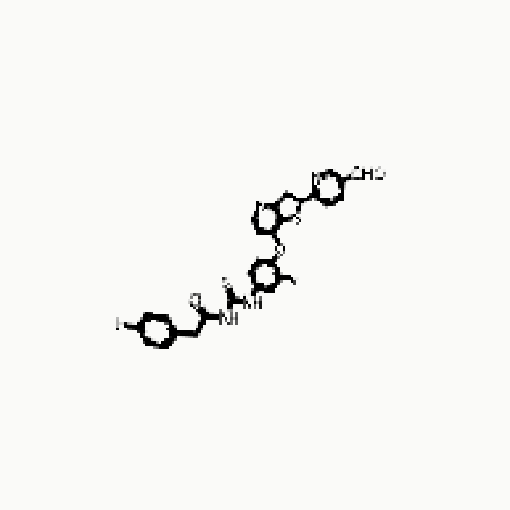 O=Cc1ccc(C2Cc3nccc(Oc4ccc(NC(=S)NC(=O)Cc5ccc(F)cc5)cc4F)c3S2)nc1